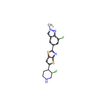 Cn1cc2cc(-c3nc4sc(C5CCNC[C@@H]5F)cc4s3)cc(F)c2n1